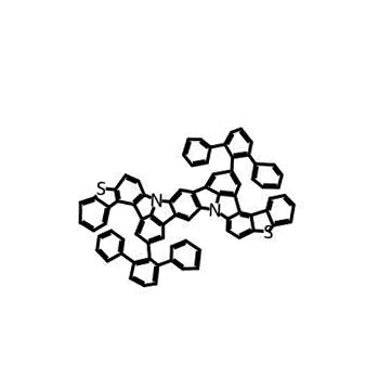 c1ccc(-c2cccc(-c3ccccc3)c2-c2cc3c4cc5c(cc4n4c6ccc7sc8ccccc8c7c6c(c2)c34)c2cc(-c3c(-c4ccccc4)cccc3-c3ccccc3)cc3c4c6c(ccc4n5c23)sc2ccccc26)cc1